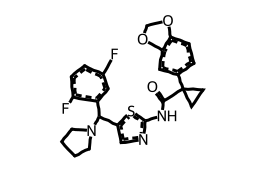 O=C(Nc1ncc(C(c2cc(F)ccc2F)N2CCCC2)s1)C1(c2ccc3c(c2)OCO3)CC1